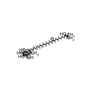 C[C@@H](N)[C@H](O)CCCCCCCC(=O)CCCCCCCCCCCCCC[C@@H](O[C@@H]1O[C@H](CO)[C@H](O)[C@H](O)[C@H]1O)[C@@H](C)N